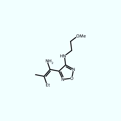 CC/C(C)=C(/N)c1nonc1NCCOC